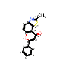 Cc1nc2ccc3oc(-c4ccccc4)cc(=O)c3c2s1